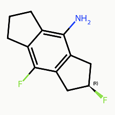 Nc1c2c(c(F)c3c1C[C@@H](F)C3)CCC2